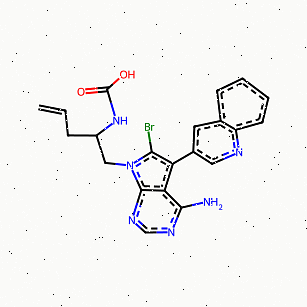 C=CCC(Cn1c(Br)c(-c2cnc3ccccc3c2)c2c(N)ncnc21)NC(=O)O